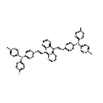 Cc1ccc(N(c2ccc(C)cc2)c2ccc(C=Cc3c4ccccc4c(C=Cc4ccc(N(c5ccc(C)cc5)c5ccc(C)cc5)cc4)c4ccccc34)cc2)cc1